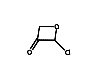 O=C1COC1Cl